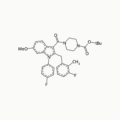 COc1ccc2c(C(=O)N3CCN(C(=O)OC(C)(C)C)CC3)c(Cc3cccc(F)c3C)n(-c3ccc(F)cc3)c2c1